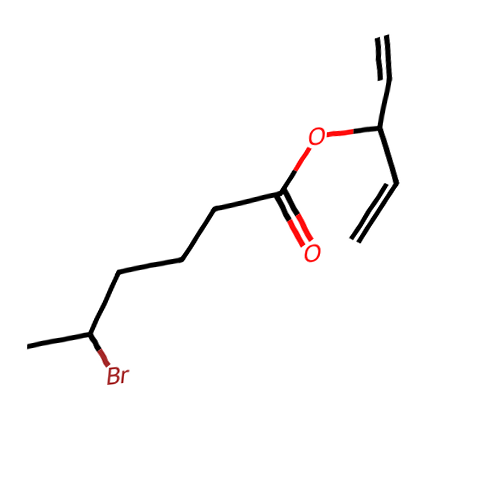 C=CC(C=C)OC(=O)CCCC(C)Br